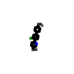 CCCCc1ccc(-c2ccc(C3CCC(C)CC3)cc2F)nc1